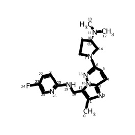 Cc1nc2ccc(N3CC[C@H](N(C)C)C3)nn2c1CNc1ccc(F)cn1